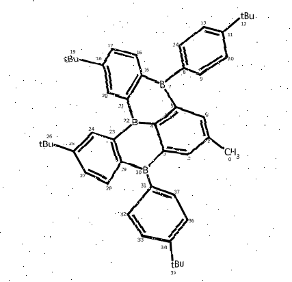 Cc1cc2c3c(c1)B(c1ccc(C(C)(C)C)cc1)c1ccc(C(C)(C)C)cc1B3c1cc(C(C)(C)C)ccc1B2c1ccc(C(C)(C)C)cc1